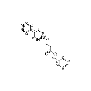 O=C(CCC[n+]1ccc(-c2ccnnc2)cn1)OCc1ccccc1